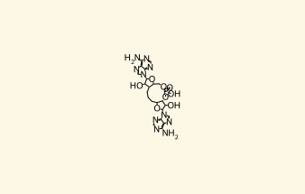 Nc1ncnc2c1ncn2C1OC2COP(=O)(O)OC3C(CCCC2C1O)OC(n1cnc2c(N)ncnc21)C3O